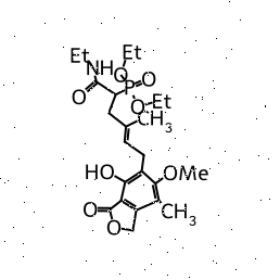 CCNC(=O)C(C/C(C)=C/Cc1c(O)c2c(c(C)c1OC)COC2=O)P(=O)(OCC)OCC